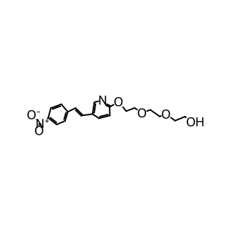 O=[N+]([O-])c1ccc(C=Cc2ccc(OCCOCCOCCO)nc2)cc1